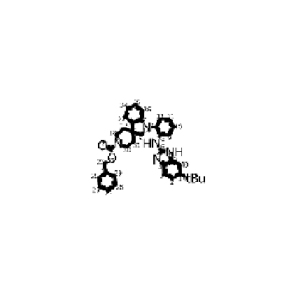 CC(C)(C)c1ccc2nc(Nc3ccccc3N3CC4(CCN(C(=O)OCc5ccccc5)CC4)c4ccccc43)[nH]c2c1